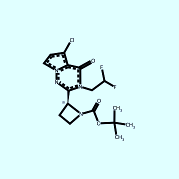 CC(C)(C)OC(=O)N1CC[C@H]1c1nn2ccc(Cl)c2c(=O)n1CC(F)F